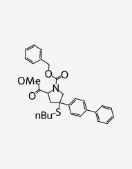 CCCCSC1(c2ccc(-c3ccccc3)cc2)CC(C(=O)OC)N(C(=O)OCc2ccccc2)C1